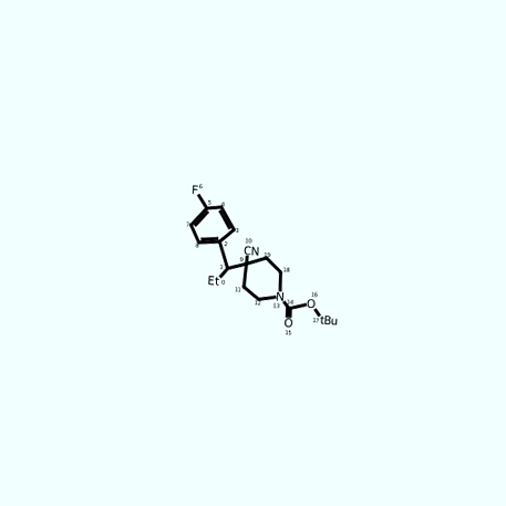 CCC(c1ccc(F)cc1)C1(C#N)CCN(C(=O)OC(C)(C)C)CC1